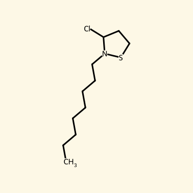 CCCCCCCCN1SCCC1Cl